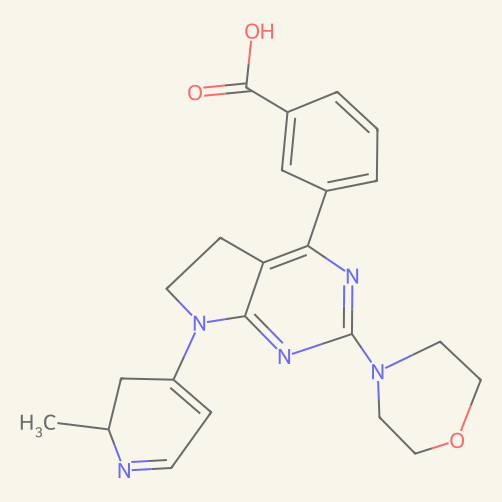 CC1CC(N2CCc3c(-c4cccc(C(=O)O)c4)nc(N4CCOCC4)nc32)=CC=N1